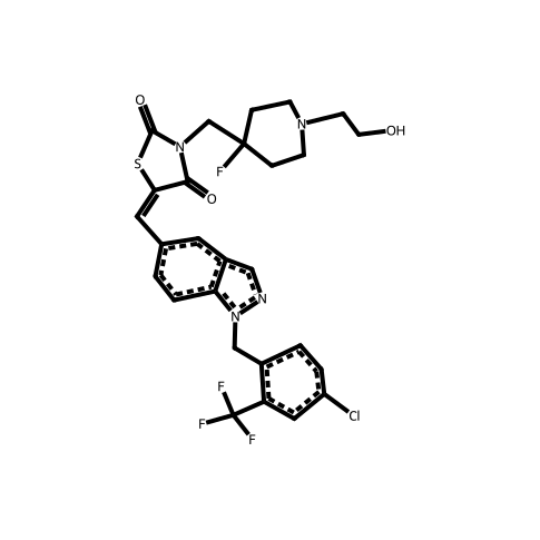 O=C1SC(=Cc2ccc3c(cnn3Cc3ccc(Cl)cc3C(F)(F)F)c2)C(=O)N1CC1(F)CCN(CCO)CC1